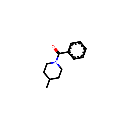 CC1CCN(C(=O)c2c[c]ccc2)CC1